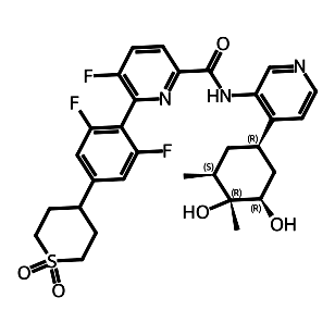 C[C@H]1C[C@@H](c2ccncc2NC(=O)c2ccc(F)c(-c3c(F)cc(C4CCS(=O)(=O)CC4)cc3F)n2)C[C@@H](O)[C@]1(C)O